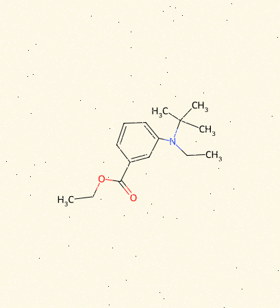 CCOC(=O)c1cccc(N(CC)C(C)(C)C)c1